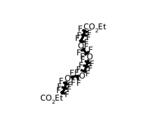 CCOC(=O)C(F)(F)C(F)(F)C(F)(F)OC(F)(F)C(F)(F)OC(F)(F)C(F)(F)C(F)(F)OC(F)(F)C(F)(F)OC(F)(F)C(F)(F)C(F)(F)C(=O)OCC